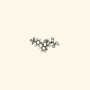 COC(=O)N[C@@H]1C[C@@H]2CN(c3ccc(C(F)(F)F)cc3)c3cccnc3N2C1